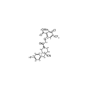 COC(=O)c1cc(Cl)c(C(F)(F)F)cc1OCC(=O)N1CCC(C#N)(Cc2ccc(F)cc2)CC1